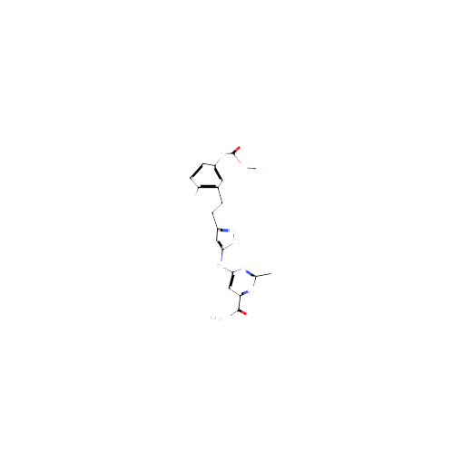 COC(=O)c1cc(Nc2cc(CCc3cc(NC(=O)OC(C)(C)C)ccc3F)n[nH]2)nc(C)n1